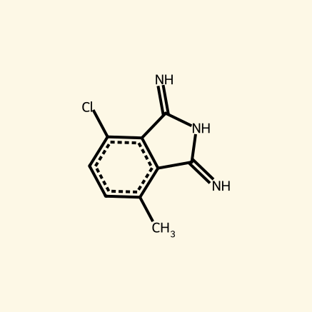 Cc1ccc(Cl)c2c1C(=N)NC2=N